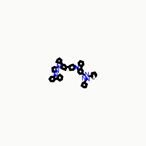 c1ccc(-c2nc(-c3ccccc3)nc(-c3ccc4c(c3)c3ccccc3n4-c3ccc(-c4ccc5c(c4)c4ccccc4n5-c4cccc(-n5c6ccccc6c6ccccc65)n4)cc3)n2)cc1